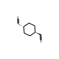 O=[C][C@H]1CC[C@H]([C]=O)CC1